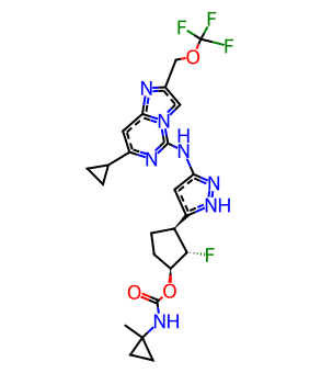 CC1(NC(=O)O[C@H]2CC[C@@H](c3cc(Nc4nc(C5CC5)cc5nc(COC(F)(F)F)cn45)n[nH]3)[C@@H]2F)CC1